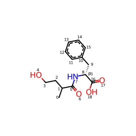 CC(CCO)C(=O)N[C@H](Cc1ccccc1)C(=O)O